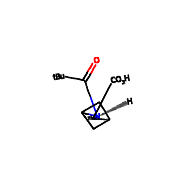 CC(C)(C)C(=O)N1C2CC(C2)[C@H]1C(=O)O